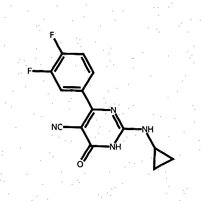 N#Cc1c(-c2ccc(F)c(F)c2)nc(NC2CC2)[nH]c1=O